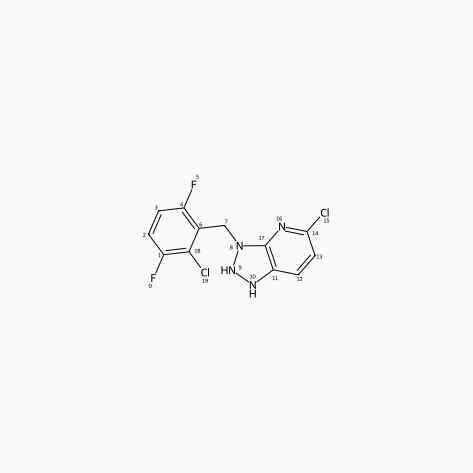 Fc1ccc(F)c(CN2NNc3ccc(Cl)nc32)c1Cl